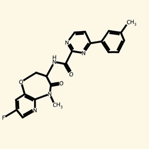 Cc1cccc(-c2ccnc(C(=O)NC3COc4cc(F)cnc4N(C)C3=O)n2)c1